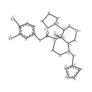 O=C(Cc1ccc(Cl)c(Cl)c1)N1CCN(Cc2ccon2)C2COCC(N3CCCC3)[C@H]21